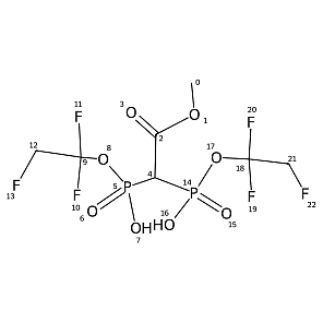 COC(=O)C(P(=O)(O)OC(F)(F)CF)P(=O)(O)OC(F)(F)CF